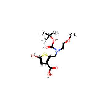 COCCN(Cc1sc(Br)cc1C(=O)O)C(=O)OC(C)(C)C